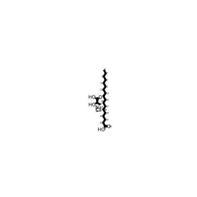 CC(O)C(=O)O.CCCCCCCCCCCCCCCCCC(=O)O.[Ca+2].[Na+]